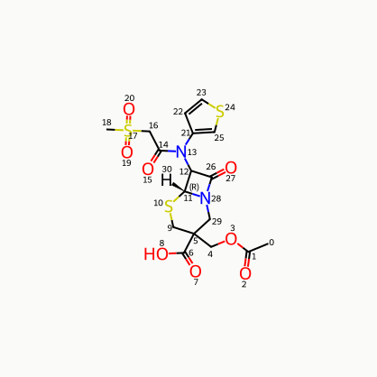 CC(=O)OCC1(C(=O)O)CS[C@@H]2C(N(C(=O)CS(C)(=O)=O)c3ccsc3)C(=O)N2C1